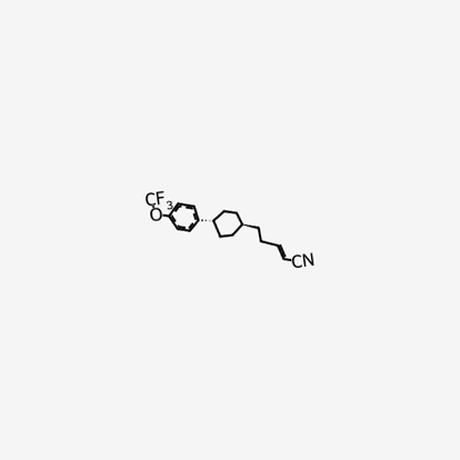 N#CC=CCC[C@H]1CC[C@H](c2ccc(OC(F)(F)F)cc2)CC1